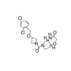 O=C1CO[C@H]2CCN(C(=O)N3CC(OCc4ccc(Cl)cc4Cl)C3)C[C@H]2N1